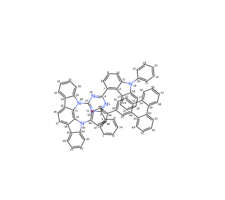 c1ccc(-c2nc(-c3cccc4c3c3ccccc3n4-c3ccccc3)nc(-n3c4ccccc4c4ccc5c6ccccc6n(-c6ccc(-c7ccc8c9ccccc9c9ccccc9c8c7)cc6)c5c43)n2)cc1